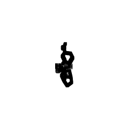 COc1cccc(NC2CC3CCC(C2)N3C(=O)O)c1